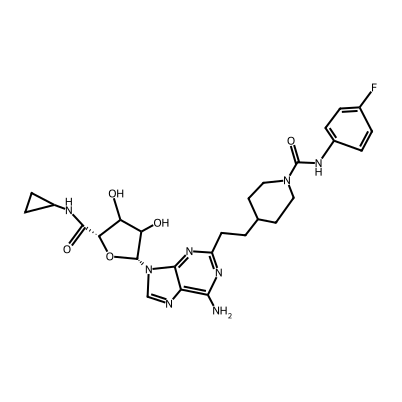 Nc1nc(CCC2CCN(C(=O)Nc3ccc(F)cc3)CC2)nc2c1ncn2[C@@H]1O[C@H](C(=O)NC2CC2)C(O)C1O